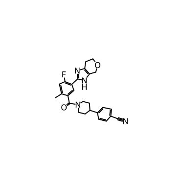 Cc1cc(F)c(-c2nc3c([nH]2)COCC3)cc1C(=O)N1CCC(c2ccc(C#N)cc2)CC1